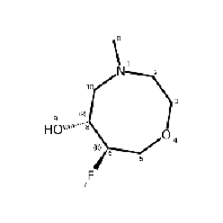 CN1CCOC[C@@H](F)[C@H](O)C1